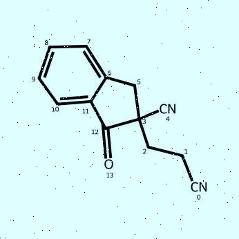 N#CCCC1(C#N)Cc2ccccc2C1=O